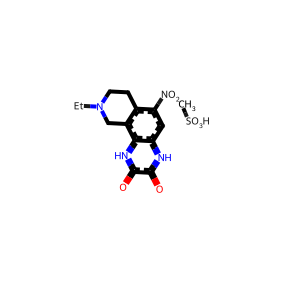 CCN1CCc2c([N+](=O)[O-])cc3[nH]c(=O)c(=O)[nH]c3c2C1.CS(=O)(=O)O